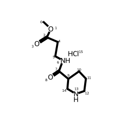 COC(=O)CCNC(=O)C1CCCNC1.Cl